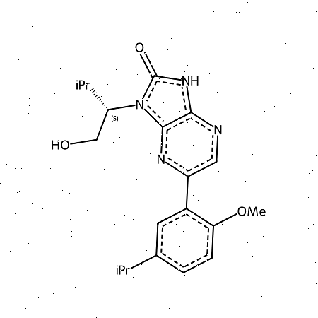 COc1ccc(C(C)C)cc1-c1cnc2[nH]c(=O)n([C@H](CO)C(C)C)c2n1